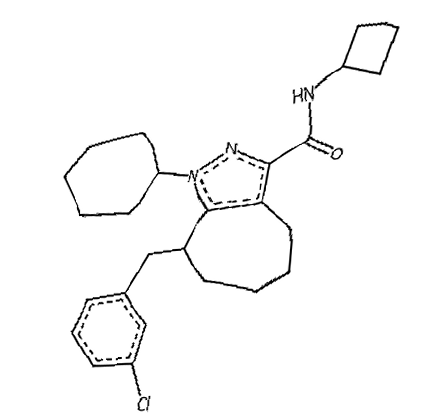 O=C(NC1CCC1)c1nn(C2CCCCC2)c2c1CCCCC2Cc1cccc(Cl)c1